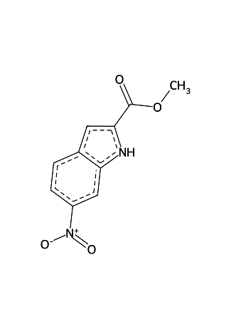 COC(=O)c1cc2ccc([N+](=O)[O-])cc2[nH]1